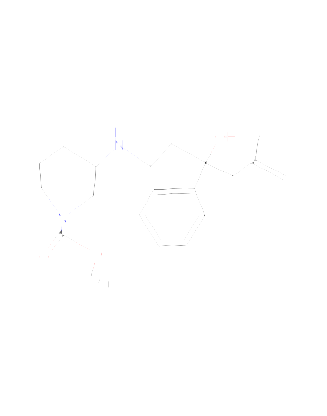 C=C(C)CC(O)(CCNC1CCCN(C(=O)OC(C)(C)C)C1)c1ccccc1